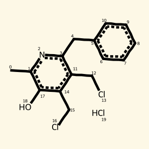 Cc1nc(Cc2ccccc2)c(CCl)c(CCl)c1O.Cl